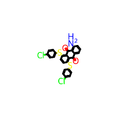 Nc1cccc2c1C(=O)c1c(Sc3ccc(Cl)cc3)ccc(Sc3ccc(Cl)cc3)c1C2=O